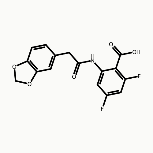 O=C(Cc1ccc2c(c1)OCO2)Nc1cc(F)cc(F)c1C(=O)O